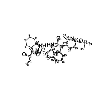 C=CC(=O)N[C@H]1CCCC[C@H]1NC(O)c1sc2nccc3c2c1NC(=O)N3c1ccc(OC(C)C)nc1C